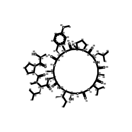 CC[C@H](C)[C@H]1NC(=O)[C@@H](NC(=O)[C@H](CC(C)C)N(C)C(=O)[C@@H]2CCCN2C(=O)[C@H](C)O)[C@@H](C)OC(=O)[C@H](Cc2ccc(OC)cc2)N(C)C(=O)[C@@H]2CCCN2C(=O)[C@H](CC(C)C)NC(=O)[C@@H](C)C(=O)C(C(C)C)OC(=O)C[C@@H]1O